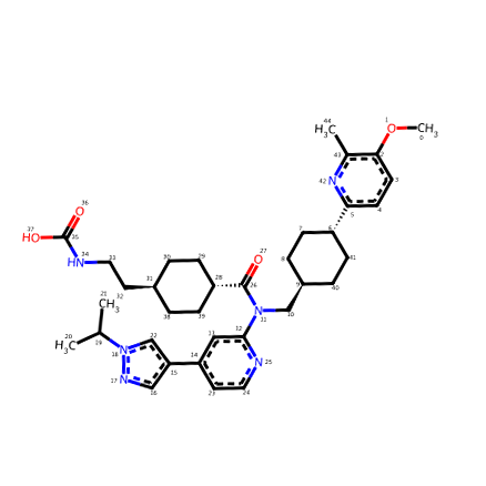 COc1ccc([C@H]2CC[C@H](CN(c3cc(-c4cnn(C(C)C)c4)ccn3)C(=O)[C@H]3CC[C@H](CCNC(=O)O)CC3)CC2)nc1C